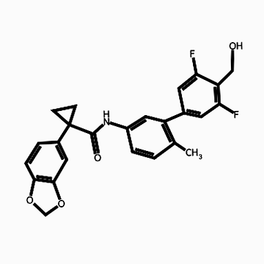 Cc1ccc(NC(=O)C2(c3ccc4c(c3)OCO4)CC2)cc1-c1cc(F)c(CO)c(F)c1